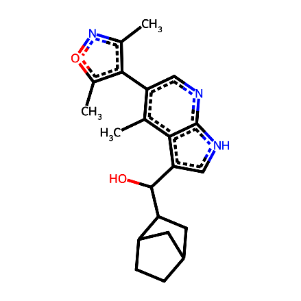 Cc1noc(C)c1-c1cnc2[nH]cc(C(O)C3CC4CCC3C4)c2c1C